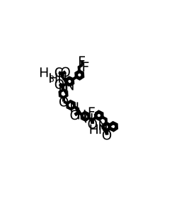 CC(=O)Nc1cc(-c2cccc(CC(F)F)c2)cnc1C(=O)N1CCC(OC2CCN(CC(=O)N3CCN(C(=O)c4cc(Cc5n[nH]c(=O)c6ccccc56)ccc4F)CC3)CC2)CC1